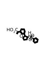 C=C(C(=O)O)c1cccc2c1OC1CCC(NS(=O)(=O)c3ccccc3)C21